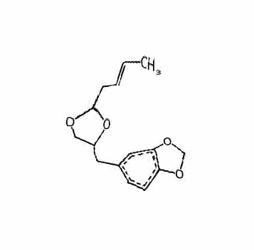 CC=CCC1OCC(Cc2ccc3c(c2)OCO3)O1